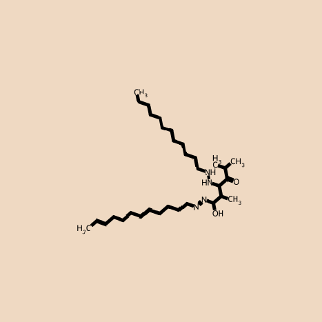 CCCCCCCCCCCCN=NC(O)C(C)C(NNCCCCCCCCCCCC)C(=O)C(C)C